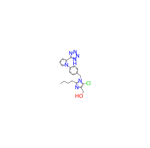 CCCCc1nc(CO)c(Cl)n1Cc1ccc(-n2cccc2-c2nnn[nH]2)cc1